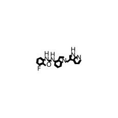 Cc1c(F)cccc1NC(=O)Nc1cccc2c1ccn2Cc1c[nH]c2ncccc12